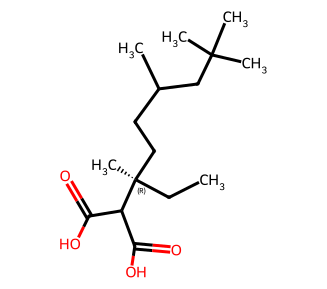 CC[C@](C)(CCC(C)CC(C)(C)C)C(C(=O)O)C(=O)O